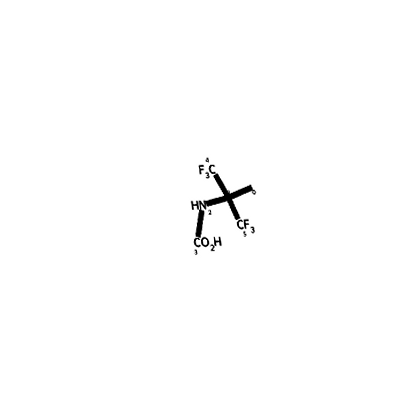 CC(NC(=O)O)(C(F)(F)F)C(F)(F)F